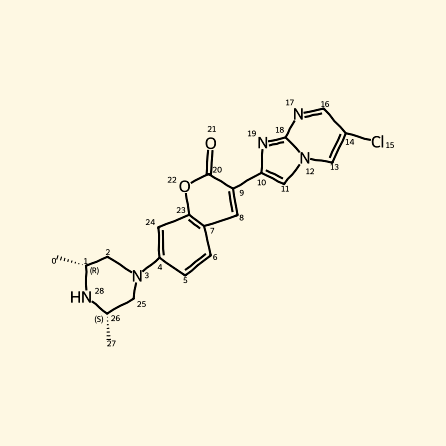 C[C@@H]1CN(c2ccc3cc(-c4cn5cc(Cl)cnc5n4)c(=O)oc3c2)C[C@H](C)N1